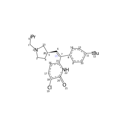 CC(C)CN1CC[C@H](/C=C(/c2ccc(C(C)(C)C)cc2)c2ccc(Cl)c(=O)[nH]2)C1